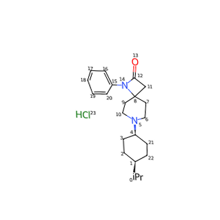 CC(C)[C@H]1CC[C@@H](N2CCC3(CC2)CC(=O)N3c2ccccc2)CC1.Cl